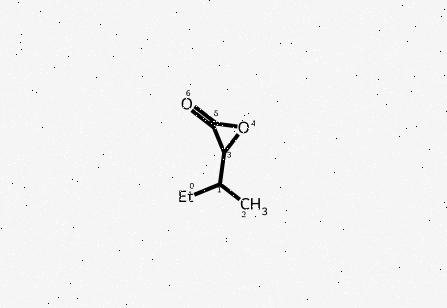 CCC(C)C1OC1=O